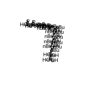 CCCCP(CCCC)CCCC.CCCCP(CCCC)CCCC.CCCCP(CCCC)CCCC.CCCCP(CCCC)CCCC.CCCCP(CCCC)CCCC.CCCCP(CCCC)CCCC.CCCCP(CCCC)CCCC.CCCCP(CCCC)CCCC.OB(O)F.OB(O)F.OB(O)F.OB(O)F